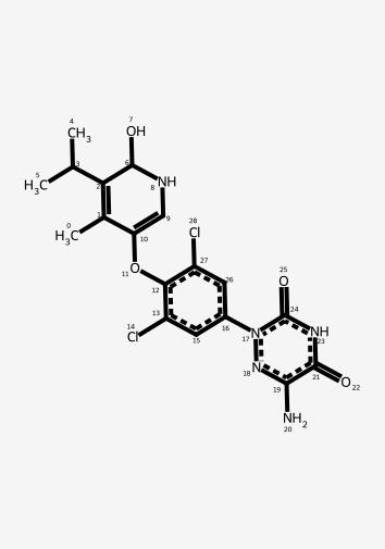 CC1=C(C(C)C)C(O)NC=C1Oc1c(Cl)cc(-n2nc(N)c(=O)[nH]c2=O)cc1Cl